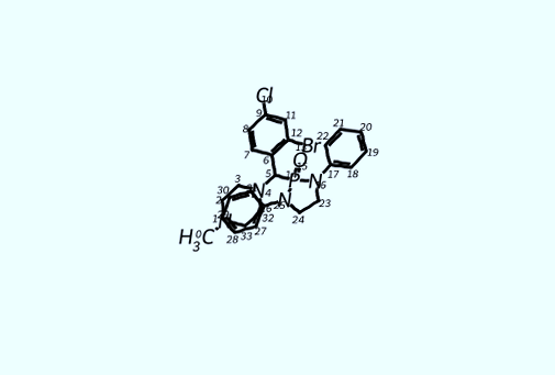 CN1CCN(C(c2ccc(Cl)cc2Br)P2(=O)N(c3ccccc3)CCN2c2ccccc2)CC1